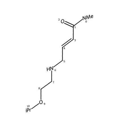 CNC(=O)/C=C/CNCCOC(C)C